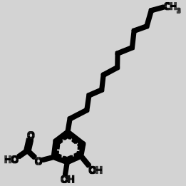 CCCCCCCCCCCCc1cc(O)c(O)c(OC(=O)O)c1